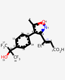 CC/C(=C\C(=O)O)c1noc(C)c1-c1ccc(C(O)(C(F)(F)F)C(F)(F)F)cc1